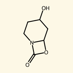 O=C1OC2CC(O)CCN12